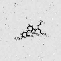 CC/C=C(/CCC)c1c2cccc(-c3ccc(OC)nc3C)c2nn1C